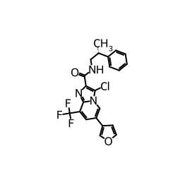 C[C@@H](CNC(=O)c1nc2c(C(F)(F)F)cc(-c3ccoc3)cn2c1Cl)c1ccccc1